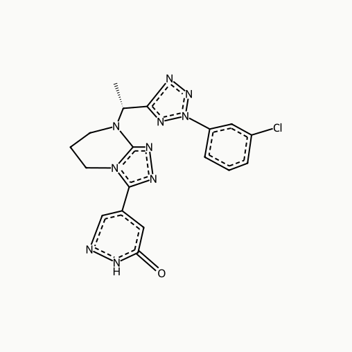 C[C@H](c1nnn(-c2cccc(Cl)c2)n1)N1CCCn2c(-c3cn[nH]c(=O)c3)nnc21